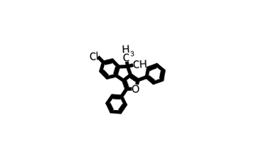 CC1(C)c2cc(Cl)ccc2-c2c(-c3ccccc3)oc(-c3ccccc3)c21